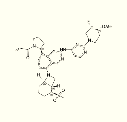 C=CC(=O)N1CCC[C@H]1c1ccc(N2C[C@H]3[C@H]2CCC[C@@H]3S(C)(=O)=O)c2cnc(Nc3ccnc(N4CC[C@@H](OC)[C@@H](F)C4)n3)cc12